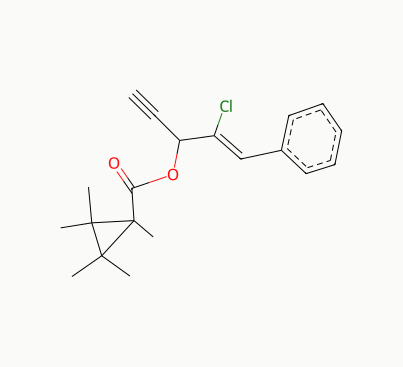 C#CC(OC(=O)C1(C)C(C)(C)C1(C)C)C(Cl)=Cc1ccccc1